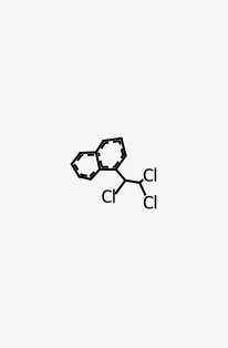 ClC(Cl)C(Cl)c1cccc2ccccc12